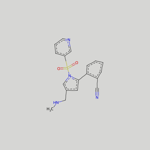 CNCc1cc(-c2ccccc2C#N)n(S(=O)(=O)c2cccnc2)c1